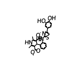 COC(=O)C1=C(C)NC(C)=C(C(=O)OC)C1c1ccccc1Nc1nc(-c2ccc(O)c(O)c2)cs1